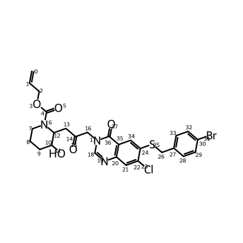 C=CCOC(=O)N1CCCC(O)C1CC(=O)Cn1cnc2cc(Cl)c(SCc3ccc(Br)cc3)cc2c1=O